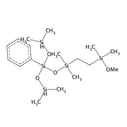 CO[Si](C)(C)CC[Si](C)(C)O[Si](O[SiH](C)C)(O[SiH](C)C)c1ccccc1